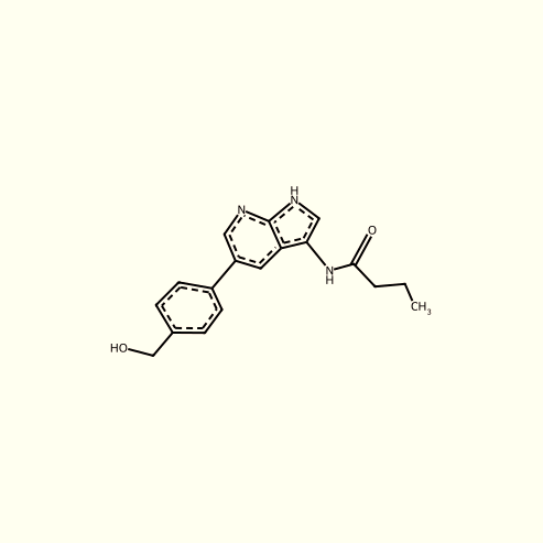 CCCC(=O)Nc1c[nH]c2ncc(-c3ccc(CO)cc3)cc12